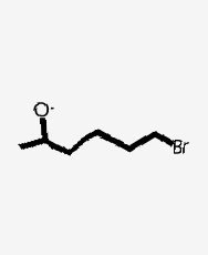 CC([O])CCCCBr